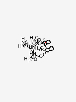 COC(=O)[C@@H]1CCCCc2cc3ccccc3c(c2OC)-c2c(OC)c(cc3ccccc23)CC(NC(C)=O)C(=O)N[C@H](CCCNC(=N)N)C(=O)N1